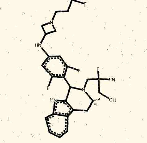 C[C@@H]1Cc2c([nH]c3ccccc23)C(c2c(F)cc(NC3CN(CCCF)C3)cc2F)N1CC(F)(C#N)CO